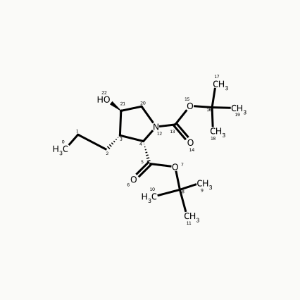 CCC[C@H]1[C@@H](C(=O)OC(C)(C)C)N(C(=O)OC(C)(C)C)C[C@@H]1O